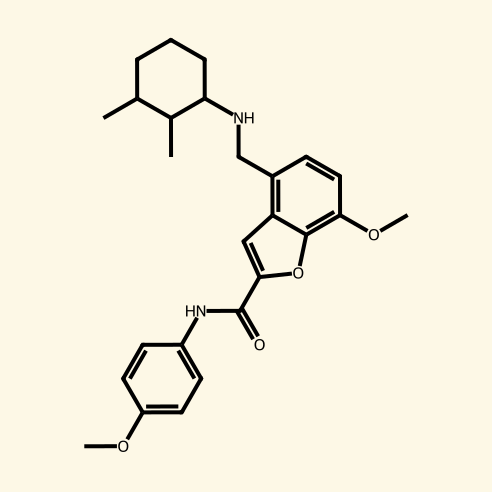 COc1ccc(NC(=O)c2cc3c(CNC4CCCC(C)C4C)ccc(OC)c3o2)cc1